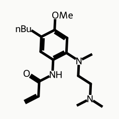 C=CC(=O)Nc1cc(CCCC)c(OC)cc1N(C)CCN(C)C